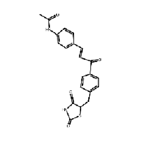 CC(=O)Nc1ccc(C=CC(=O)c2ccc(CC3SC(=O)NC3=O)cc2)cc1